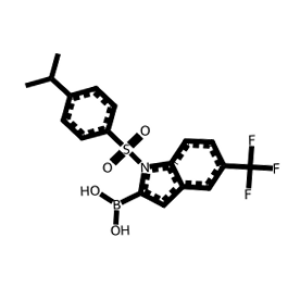 CC(C)c1ccc(S(=O)(=O)n2c(B(O)O)cc3cc(C(F)(F)F)ccc32)cc1